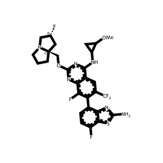 COC1CC1Nc1nc(OC[C@@]23CCCN2C[C@H](F)C3)nc2c(F)c(-c3ccc(F)c4sc(N)nc34)c(C(F)(F)F)cc12